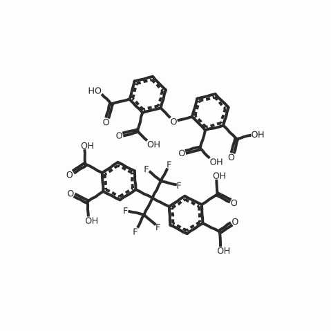 O=C(O)c1ccc(C(c2ccc(C(=O)O)c(C(=O)O)c2)(C(F)(F)F)C(F)(F)F)cc1C(=O)O.O=C(O)c1cccc(Oc2cccc(C(=O)O)c2C(=O)O)c1C(=O)O